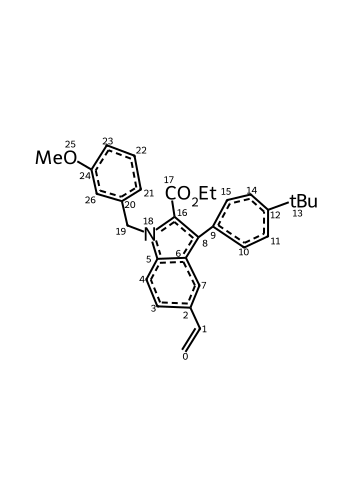 C=Cc1ccc2c(c1)c(-c1ccc(C(C)(C)C)cc1)c(C(=O)OCC)n2Cc1cccc(OC)c1